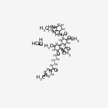 CCc1nc2c(NC(=O)c3ccc(C(=O)N(C)c4ccc(C)cc4OCCCCCC(=O)N4CCN(C)CC4)cc3OC)cccc2[nH]1.Cl.Cl